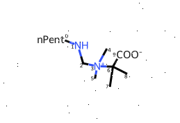 CCCCCNC[N+](C)(C)C(C)(C)C(=O)[O-]